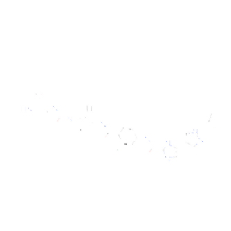 C=C(F)Cn1cc(-c2cnc(C(=O)Nc3ccc(C(=O)NC4[C@H]5CN(C(=O)N[C@@H]6CNC[C@H]6O)C[C@@H]45)c(Cl)c3)n2C)c(C(F)(F)F)n1